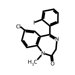 CN1C(=O)CN=C(c2ccccc2I)c2cc(Cl)ccc21